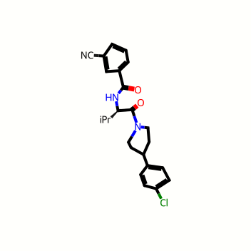 CC(C)[C@@H](NC(=O)c1cccc(C#N)c1)C(=O)N1CCC(c2ccc(Cl)cc2)CC1